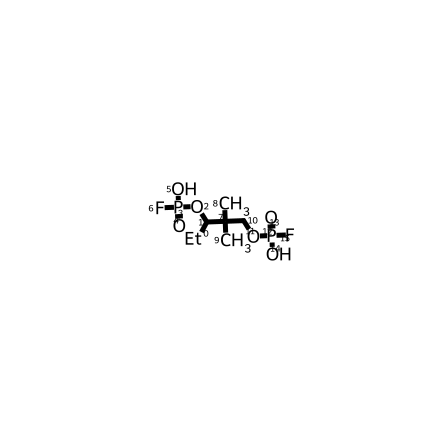 CCC(OP(=O)(O)F)C(C)(C)COP(=O)(O)F